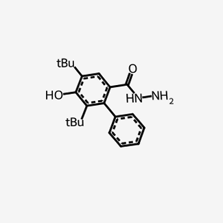 CC(C)(C)c1cc(C(=O)NN)c(-c2ccccc2)c(C(C)(C)C)c1O